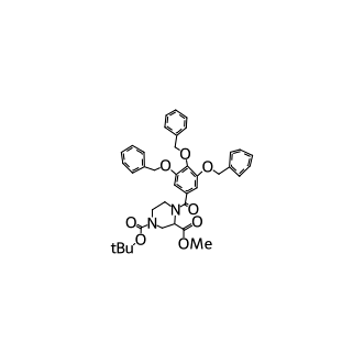 COC(=O)C1CN(C(=O)OC(C)(C)C)CCN1C(=O)c1cc(OCc2ccccc2)c(OCc2ccccc2)c(OCc2ccccc2)c1